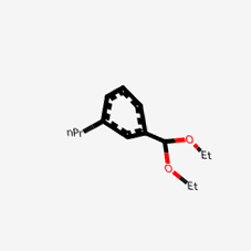 CCCc1cccc(C(OCC)OCC)c1